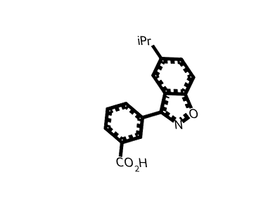 CC(C)c1ccc2onc(-c3cccc(C(=O)O)c3)c2c1